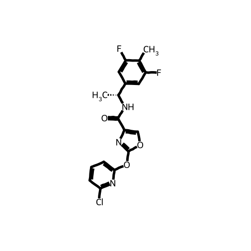 Cc1c(F)cc([C@@H](C)NC(=O)c2coc(Oc3cccc(Cl)n3)n2)cc1F